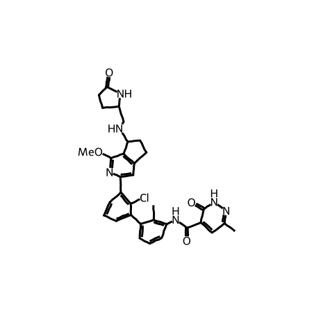 COc1nc(-c2cccc(-c3cccc(NC(=O)c4cc(C)n[nH]c4=O)c3C)c2Cl)cc2c1C(NCC1CCC(=O)N1)CC2